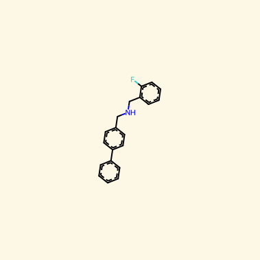 Fc1ccccc1CNCc1ccc(-c2ccccc2)cc1